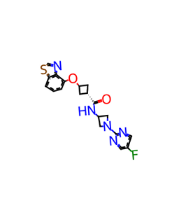 O=C(NC1CN(c2ncc(F)cn2)C1)[C@H]1C[C@H](Oc2cccc3scnc23)C1